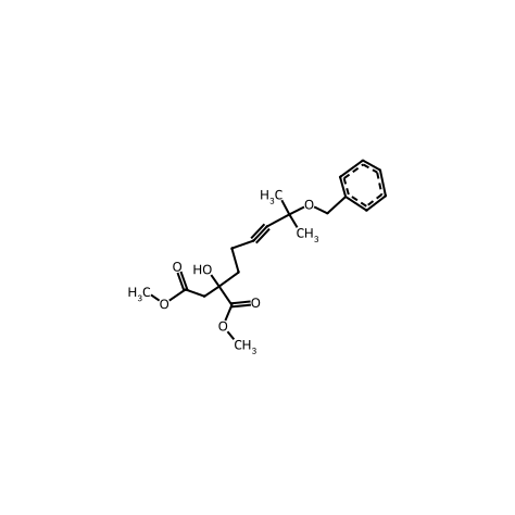 COC(=O)CC(O)(CCC#CC(C)(C)OCc1ccccc1)C(=O)OC